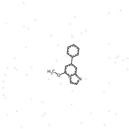 COc1cc(-c2ccccc2)cc2nccn12